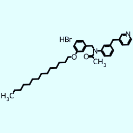 Br.CCCCCCCCCCCCCCOc1cccc(CN(C(C)=O)c2cccc(Cc3cccnc3)c2)c1